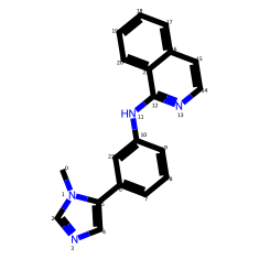 Cn1cncc1-c1cccc(Nc2nccc3ccccc23)c1